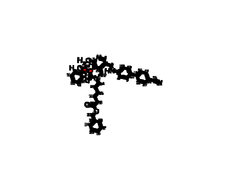 Cc1ncc(CNc2ccc(-c3ccc(C#N)cc3)cc2)c(CN(CCCCCC(=O)OCc2ccccc2)C(=O)OC(C)(C)C)c1OCc1ccccc1